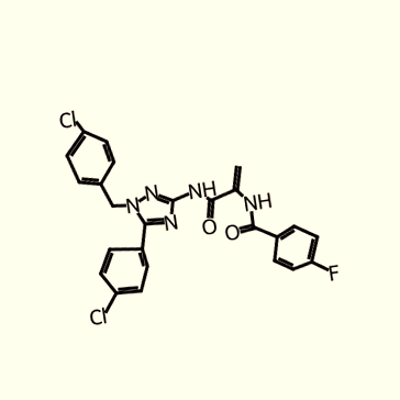 C=C(NC(=O)c1ccc(F)cc1)C(=O)Nc1nc(-c2ccc(Cl)cc2)n(Cc2ccc(Cl)cc2)n1